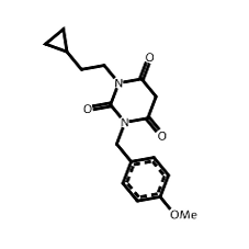 COc1ccc(CN2C(=O)CC(=O)N(CCC3CC3)C2=O)cc1